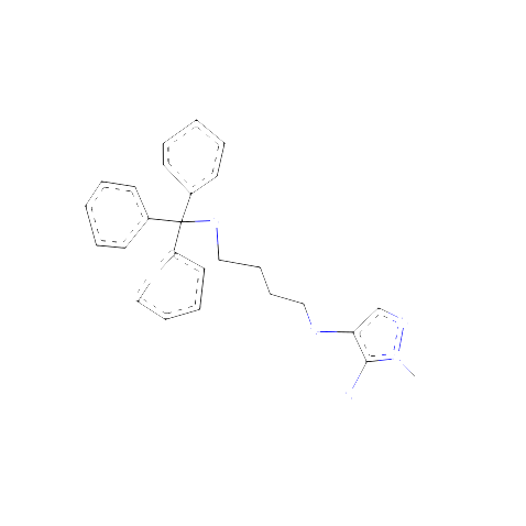 Cn1ncc(NCCCCNC(c2ccccc2)(c2ccccc2)c2ccccc2)c1N